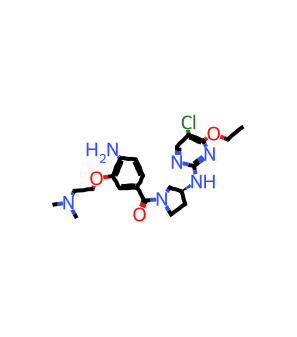 CCOc1nc(N[C@H]2CCN(C(=O)c3ccc(N)c(OCCN(C)C)c3)C2)ncc1Cl